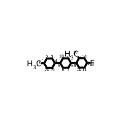 CC1CCC(C2CCC(C3CCC(F)CC3C)CC2)CC1